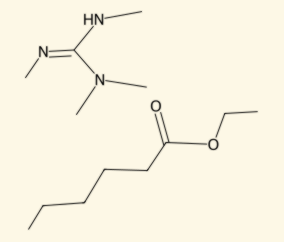 CCCCCC(=O)OCC.CN=C(NC)N(C)C